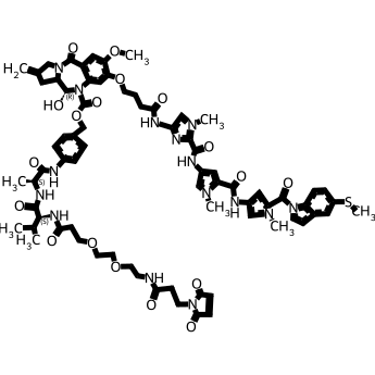 C=C1CC2[C@@H](O)N(C(=O)OCc3ccc(NC(=O)[C@H](C)NC(=O)[C@@H](NC(=O)CCOCCOCCNC(=O)CCN4C(=O)C=CC4=O)C(C)C)cc3)c3cc(OCCCC(=O)Nc4cn(C)c(C(=O)Nc5cc(C(=O)Nc6cc(C(=O)n7ccc8cc(SC)ccc87)n(C)c6)n(C)c5)n4)c(OC)cc3C(=O)N2C1